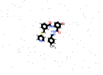 Cc1ccc(C=NNC(=O)c2cc(Br)ccc2NC(=O)c2cccc(CSc3ccncc3)c2)cc1